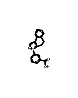 O=C(O)c1cccc(-n2ncc3c2CCc2ccccc2-3)c1